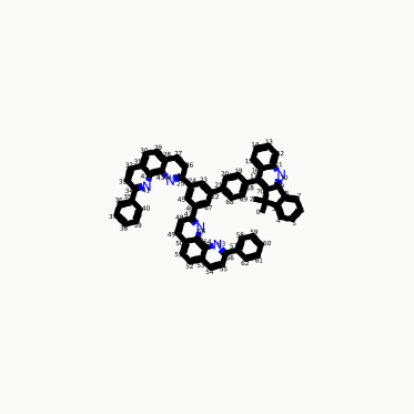 CC1(C)c2ccccc2-c2nc3ccccc3c(-c3ccc(-c4cc(-c5ccc6ccc7ccc(-c8ccccc8)nc7c6n5)cc(-c5ccc6ccc7ccc(-c8ccccc8)nc7c6n5)c4)cc3)c21